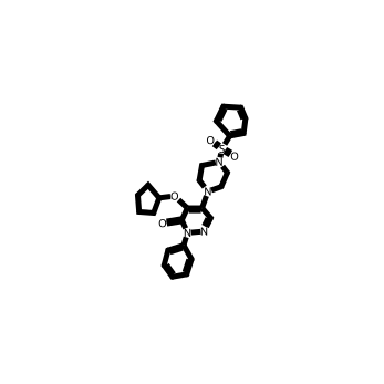 O=c1c(OC2CCCC2)c(N2CCN(S(=O)(=O)c3ccccc3)CC2)cnn1-c1ccccc1